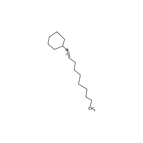 CCCCCCCC/C=N/C1CCCCC1